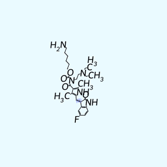 CCN(CC)CCN(C(=O)OCCCCCCN)C(=O)c1c(C)[nH]c(/C=C2\C(=O)Nc3ccc(F)cc32)c1C